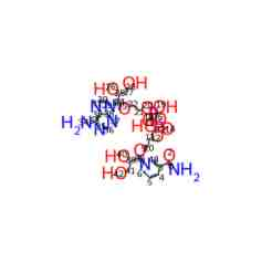 NC(=O)c1ccc[n+]([C@@H](OCCOP(=O)(O)OP(=O)(O)OCCO[C@@H](C(O)CO)n2cnc3c(N)ncnc32)C(O)CO)c1